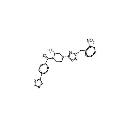 CC1CN(c2nc(Cc3ccccc3[N+](=O)[O-])ns2)CCN1C(=O)c1ccc(-c2cccs2)cc1